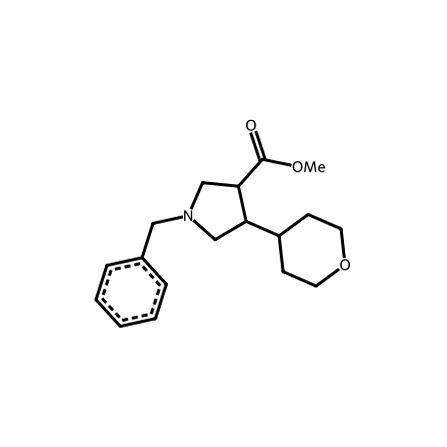 COC(=O)C1CN(Cc2ccccc2)CC1C1CCOCC1